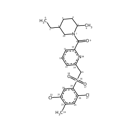 CCC1CCC(C)N(C(=O)c2cccc(CS(=O)(=O)c3cc(Cl)c(C)cc3Cl)n2)C1